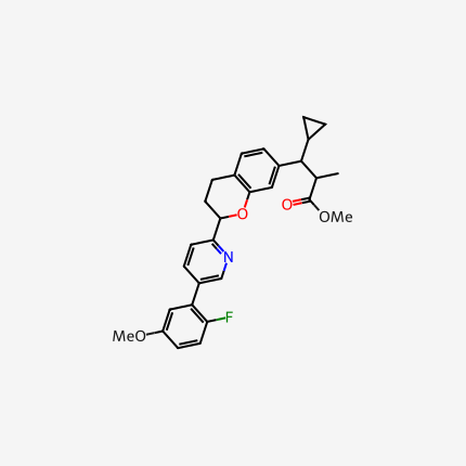 COC(=O)C(C)C(c1ccc2c(c1)OC(c1ccc(-c3cc(OC)ccc3F)cn1)CC2)C1CC1